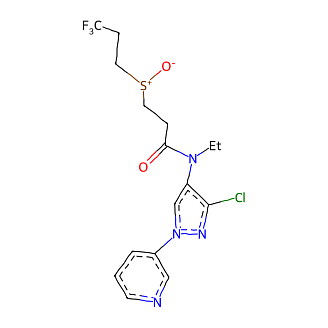 CCN(C(=O)CC[S+]([O-])CCC(F)(F)F)c1cn(-c2cccnc2)nc1Cl